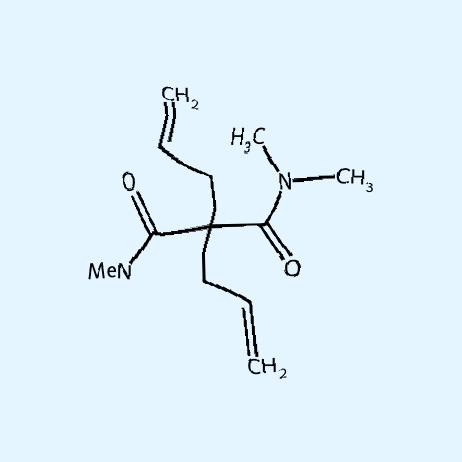 C=CCC(CC=C)(C(=O)NC)C(=O)N(C)C